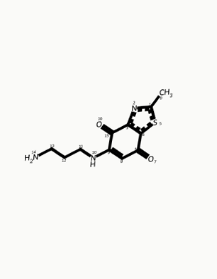 Cc1nc2c(s1)C(=O)C=C(NCCCN)C2=O